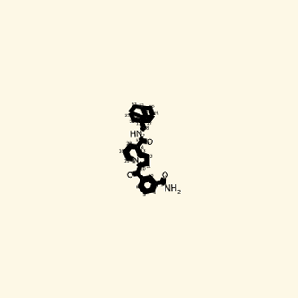 NC(=O)c1cccc(C(=O)c2ccc3c(C(=O)NCC45CC6CC(CC(C6)C4)C5)cccn23)c1